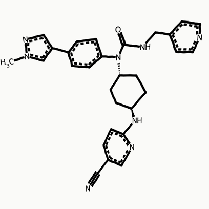 Cn1cc(-c2ccc(N(C(=O)NCc3ccncc3)[C@H]3CC[C@H](Nc4ccc(C#N)cn4)CC3)cc2)cn1